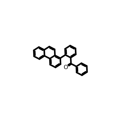 O=C(c1ccccc1)c1ccccc1-c1cccc2c1ccc1ccccc12